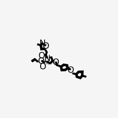 C=CCOC(=O)[C@@H]1C[C@@H](OCc2ccc(OCc3ccc(C)cc3)cc2)CN1C(=O)Cc1cc(C)no1